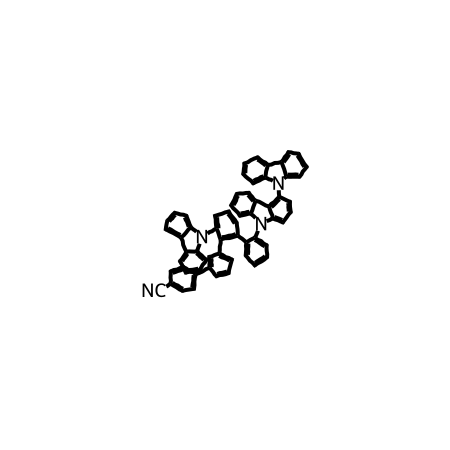 N#Cc1ccc(-c2cccc(-c3c(-c4ccccc4-n4c5ccccc5c5c(-n6c7ccccc7c7ccccc76)cccc54)cccc3-n3c4ccccc4c4ccccc43)c2)cc1